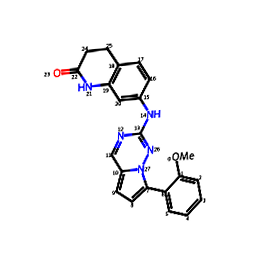 COc1ccccc1-c1ccc2cnc(Nc3ccc4c(c3)NC(=O)CC4)nn12